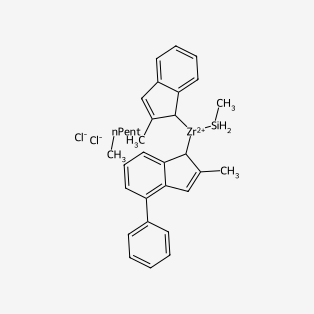 CCCCCC.C[SiH2][Zr+2]([CH]1C(C)=Cc2ccccc21)[CH]1C(C)=Cc2c(-c3ccccc3)cccc21.[Cl-].[Cl-]